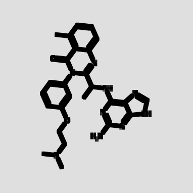 Cc1cccc2nc(C(C)Nc3nc(N)nc4[nH]cnc34)n(-c3cccc(OCCN(C)C)c3)c(=O)c12